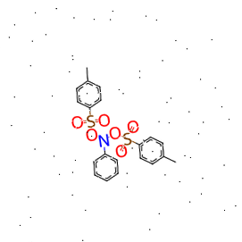 Cc1ccc(S(=O)(=O)ON(OS(=O)(=O)c2ccc(C)cc2)c2ccccc2)cc1